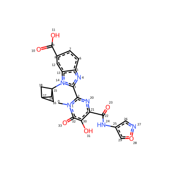 Cn1c(-c2nc3ccc(C(=O)O)cc3n2C23CC(C2)C3)nc(C(=O)Nc2cnoc2)c(O)c1=O